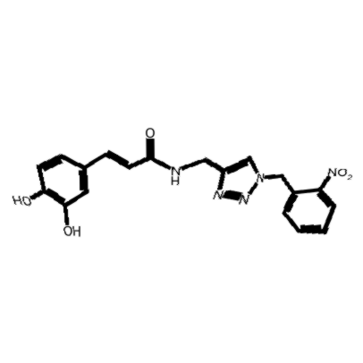 O=C(/C=C/c1ccc(O)c(O)c1)NCc1cn(Cc2ccccc2[N+](=O)[O-])nn1